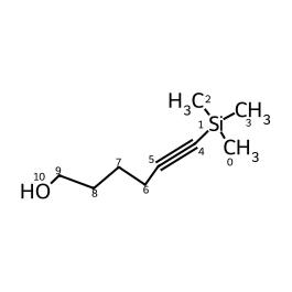 C[Si](C)(C)C#CCCCCO